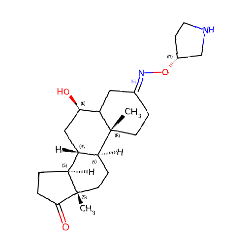 C[C@]12CC/C(=N\O[C@@H]3CCNC3)CC1[C@H](O)C[C@@H]1[C@@H]2CC[C@]2(C)C(=O)CC[C@@H]12